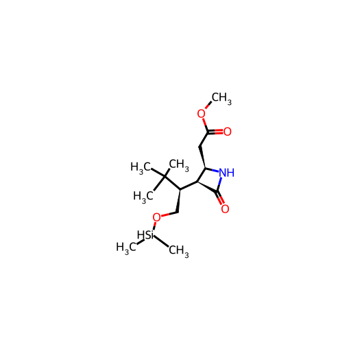 COC(=O)C[C@H]1NC(=O)[C@H]1[C@@H](CO[SiH](C)C)C(C)(C)C